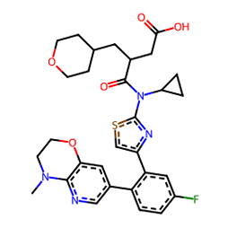 CN1CCOc2cc(-c3ccc(F)cc3-c3csc(N(C(=O)C(CC(=O)O)CC4CCOCC4)C4CC4)n3)cnc21